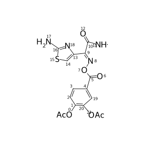 CC(=O)Oc1ccc(C(=O)O/N=C(/C([NH])=O)c2csc(N)n2)cc1OC(C)=O